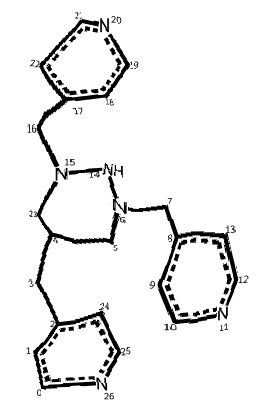 c1cc(CC2CN(Cc3ccncc3)NN(Cc3ccncc3)C2)ccn1